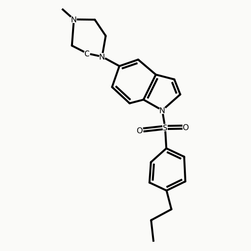 CCCc1ccc(S(=O)(=O)n2ccc3cc(N4CCN(C)CC4)ccc32)cc1